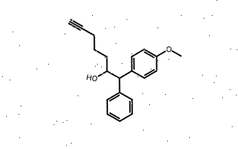 C#CCCCC(O)C(c1ccccc1)c1ccc(OC)cc1